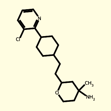 CC1(N)CCOC(CCC2CCC(c3ncccc3Cl)CC2)C1